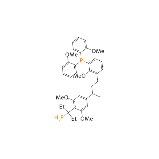 CCC(P)(CC)c1c(OC)cc(C(C)CCc2cccc(P(c3ccccc3OC)c3ccccc3OC)c2OC)cc1OC